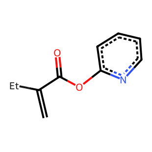 C=C(CC)C(=O)Oc1ccccn1